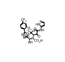 CCC[C@@H](c1nnc(-c2ccc(C(F)(F)F)cc2)o1)N(C(=O)O)[C@H](C(=O)C(=O)Nc1ccn[nH]1)C(C)(C)CCC